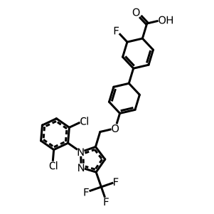 O=C(O)C1C=CC(C2C=CC(OCc3cc(C(F)(F)F)nn3-c3c(Cl)cccc3Cl)=CC2)=CC1F